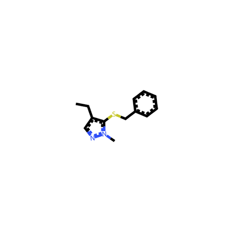 CCc1cnn(C)c1SCc1ccccc1